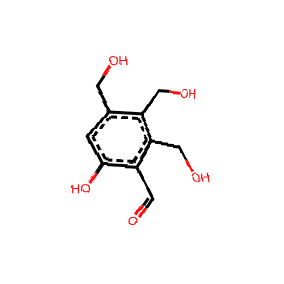 O=Cc1c(O)cc(CO)c(CO)c1CO